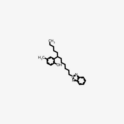 CCCCCC(CCCCCCn1nc2ccccc2n1)c1cc(C)ccc1O